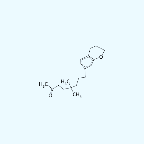 CC(=O)CCC(C)(C)CCCc1ccc2c(c1)OCCC2